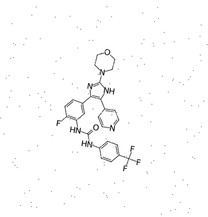 O=C(Nc1ccc(C(F)(F)F)cc1)Nc1cc(-c2nc(N3CCOCC3)[nH]c2-c2ccncc2)ccc1F